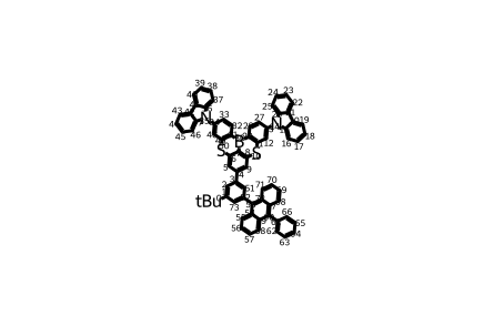 CC(C)(C)c1cc(-c2cc3c4c(c2)Sc2cc(-n5c6ccccc6c6ccccc65)ccc2B4c2ccc(-n4c5ccccc5c5ccccc54)cc2S3)cc(-c2c3ccccc3c(-c3ccccc3)c3ccccc23)c1